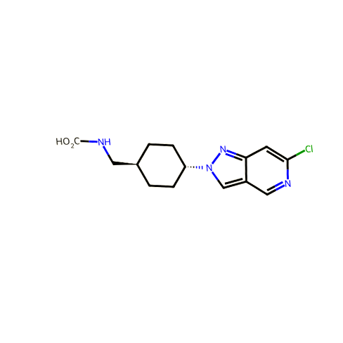 O=C(O)NC[C@H]1CC[C@H](n2cc3cnc(Cl)cc3n2)CC1